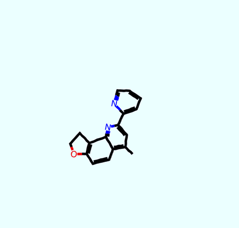 Cc1cc(-c2ccccn2)nc2c3c(ccc12)OCC3